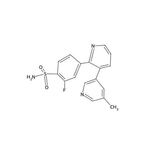 Cc1cncc(-c2cccnc2-c2ccc(S(N)(=O)=O)c(F)c2)c1